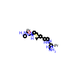 CC(C)[C@H](N)CC(CCCN)c1nc2ccc3cc(-c4ccc(-c5cc6ccc7nc(CN(C(=O)[C@@H](N)C(C)C)C8CCCCC8)[nH]c7c6s5)c(C5CC5)c4)ccc3c2[nH]1